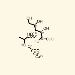 CC(O)C(=O)[O-].O=C([O-])[C@H](O)[C@@H](O)[C@H](O)[C@H](O)CO.O=C([O-])[O-].[Ca+2].[Ca+2]